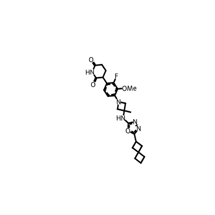 COc1c(N2CC(C)(Nc3nnc(C4CC5(CCC5)C4)o3)C2)ccc(C2CCC(=O)NC2=O)c1F